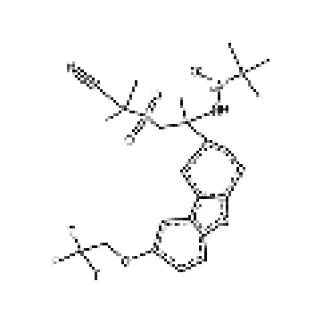 CC(CS(=O)(=O)C(C)(C)C#N)(N[S@+]([O-])C(C)(C)C)c1ccc2sc3ccc(OCC(F)(F)F)cc3c2c1